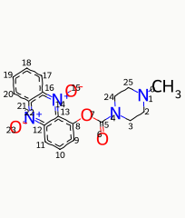 CN1CCN(C(=O)Oc2cccc3c2[n+]([O-])c2ccccc2[n+]3[O-])CC1